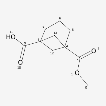 COC(=O)C12CCCC(C(=O)O)(C1)C2